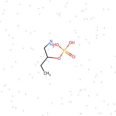 CCC(CN)OP(=O)(O)O